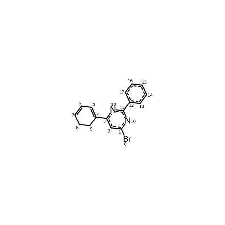 Brc1cc(C2=CC=CCC2)nc(-c2ccccc2)n1